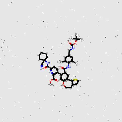 COC(=O)c1nc(C(=O)NC2(C#N)CCCCC2)ccc1-c1cc2c(cc1C(=O)Nc1c(C)cc(CNC(=O)OC(C)(C)C)cc1C)-c1sccc1CCO2